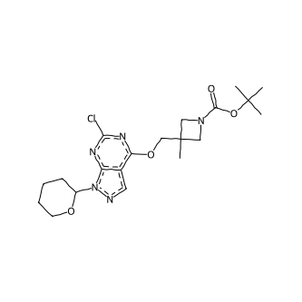 CC1(COc2nc(Cl)nc3c2cnn3C2CCCCO2)CN(C(=O)OC(C)(C)C)C1